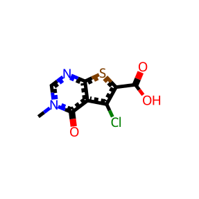 Cn1cnc2sc(C(=O)O)c(Cl)c2c1=O